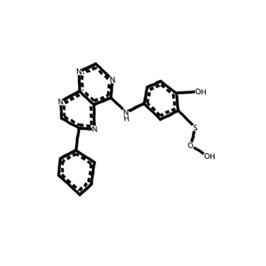 OOSc1cc(Nc2ncnc3ncc(-c4ccccc4)nc23)ccc1O